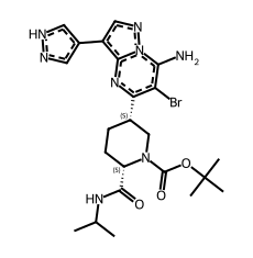 CC(C)NC(=O)[C@@H]1CC[C@H](c2nc3c(-c4cn[nH]c4)cnn3c(N)c2Br)CN1C(=O)OC(C)(C)C